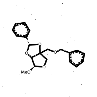 CO[C@@H]1OCC2(COCc3ccccc3)O[C@@H](c3ccccc3)OC12